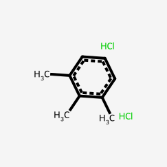 Cc1cccc(C)c1C.Cl.Cl